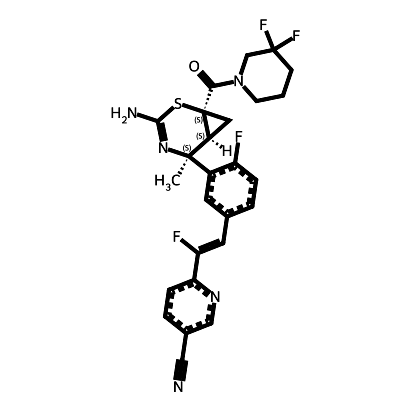 C[C@]1(c2cc(C=C(F)c3ccc(C#N)cn3)ccc2F)N=C(N)S[C@@]2(C(=O)N3CCCC(F)(F)C3)C[C@H]21